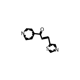 O=C(C=Cc1cncs1)c1ccncc1